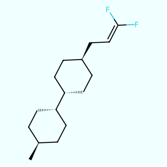 C[C@H]1CC[C@H]([C@H]2CC[C@H](CC=C(F)F)CC2)CC1